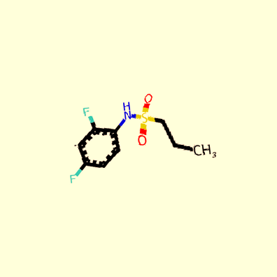 CCCS(=O)(=O)Nc1ccc(F)[c]c1F